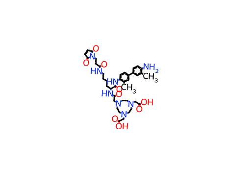 Cc1cc(-c2ccc(NC(=O)C(CCCCNC(=O)CCN3C(=O)C=CC3=O)NC(=O)CN3CCN(CC(=O)O)CCN(CC(=O)O)CC3)c(C)c2)ccc1N